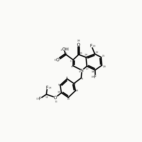 O=C(O)c1cn(Cc2ccc(OC(F)F)cc2)c2c(F)ccc(F)c2c1=O